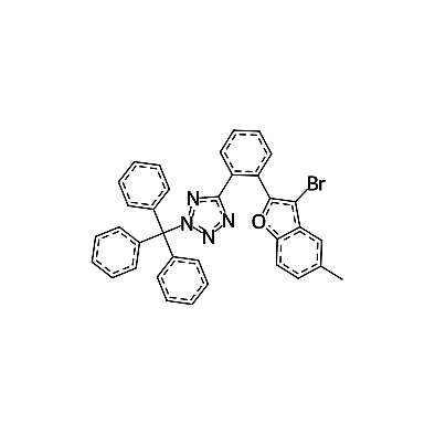 Cc1ccc2oc(-c3ccccc3-c3nnn(C(c4ccccc4)(c4ccccc4)c4ccccc4)n3)c(Br)c2c1